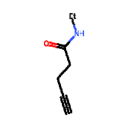 C#CCCC(=O)NCC